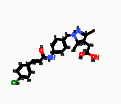 Cc1nn(Cc2ccc(NC(=O)C=Cc3ccc(Cl)cc3)cc2)c(C)c1CC(=O)O